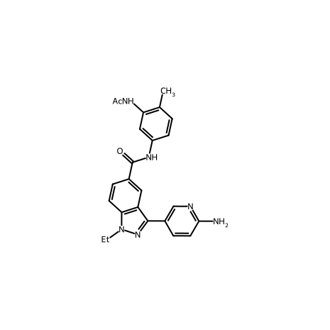 CCn1nc(-c2ccc(N)nc2)c2cc(C(=O)Nc3ccc(C)c(NC(C)=O)c3)ccc21